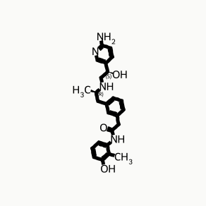 Cc1c(O)cccc1NC(=O)Cc1cccc(C[C@@H](C)NC[C@@H](O)c2ccc(N)nc2)c1